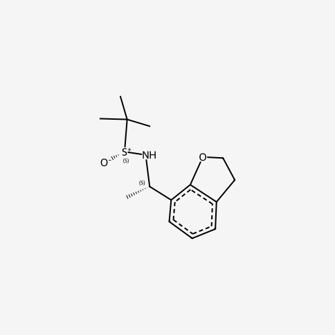 C[C@H](N[S@+]([O-])C(C)(C)C)c1cccc2c1OCC2